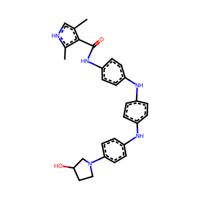 Cc1c[nH]c(C)c1C(=O)Nc1ccc(Nc2ccc(Nc3ccc(N4CCC(O)C4)cc3)cc2)cc1